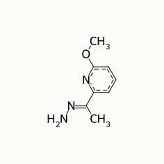 COc1cccc(/C(C)=N/N)n1